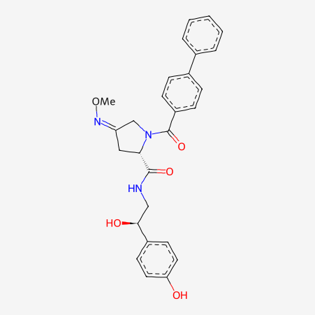 CON=C1C[C@@H](C(=O)NC[C@H](O)c2ccc(O)cc2)N(C(=O)c2ccc(-c3ccccc3)cc2)C1